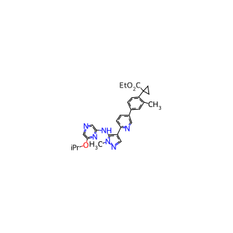 CCOC(=O)C1(c2ccc(-c3ccc(-c4cnn(C)c4Nc4cncc(OC(C)C)n4)nc3)cc2C)CC1